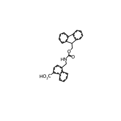 O=C(NCc1ccc(C(=O)O)c2ccccc12)OCC1c2ccccc2-c2ccccc21